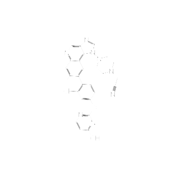 Cc1ccnc(Oc2ccc(-c3cc4c(cc3F)ncc3ncn(N5CCN(CC#N)CC5)c34)c(Cl)c2)n1